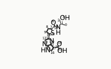 C[C@H](CO)NC(=O)c1ccc(-c2cnc3[nH]cc(C(=O)O)c3n2)s1